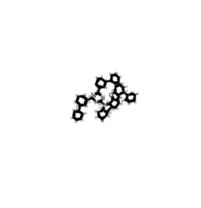 c1ccc(-c2cccc(-c3nc(-c4cccc(-c5ccccc5)c4)nc(-n4c5ccccc5c5ccc6c(oc7cccc(-c8ccccc8)c76)c54)n3)c2)cc1